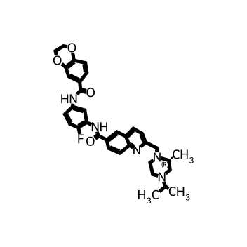 CC(C)N1CCN(Cc2ccc3cc(C(=O)Nc4cc(NC(=O)c5ccc6c(c5)OCCO6)ccc4F)ccc3n2)[C@H](C)C1